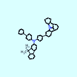 CC1(C)c2ccccc2-c2ccc(N(c3ccc(-c4ccccc4)cc3)c3ccc(-c4ccc5c6cccc7c8ccccc8n(c5c4)c76)cc3)cc21